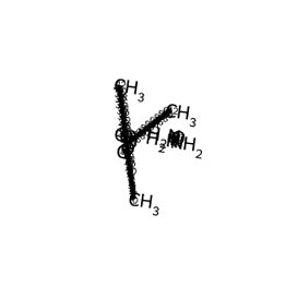 CCCCCC=CCC=CCCCCCCCC(=O)OCC(COC(=O)CCCCCCCC=CCC=CCCCCC)OC(=O)CCCCCCCC=CCC=CCCCCC.NP(N)(N)=O